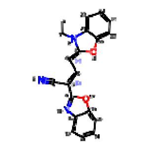 CCN1/C(=C/C=C(\C#N)c2nc3ccccc3o2)Oc2ccccc21